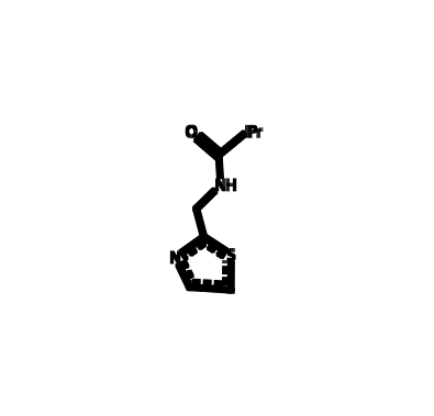 CC(C)C(=O)NCc1nccs1